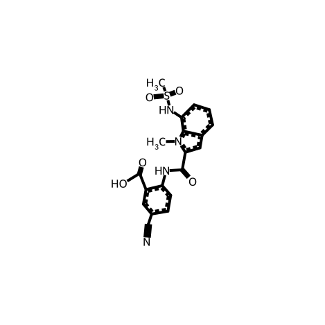 Cn1c(C(=O)Nc2ccc(C#N)cc2C(=O)O)cc2cccc(NS(C)(=O)=O)c21